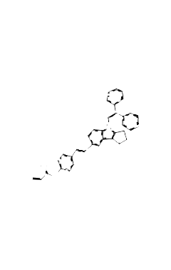 C=CC(=O)Oc1ccc(C=Cc2ccc3c(c2)c2c(n3C=C(c3ccccc3)c3ccccc3)CCC2)cc1